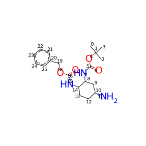 CC(C)(C)OC(=O)NC1C[C@@H](N)CCC1NC(=O)OCc1ccccc1